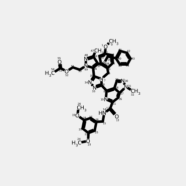 COc1ccc(Cn2c(-c3nc(C(=O)NCc4cc(OC)cc(OC)c4)cc4c3cnn4C)nnc2-c2c(OCc3ccccc3)c(C)nn2CCOC(C)=O)cc1